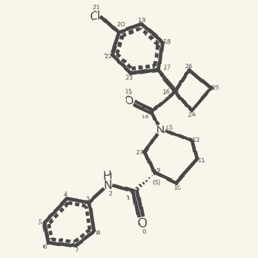 O=C(Nc1ccccc1)[C@H]1CCCN(C(=O)C2(c3ccc(Cl)cc3)CCC2)C1